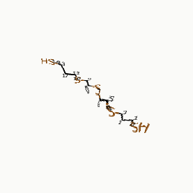 SCCCSCCSCCSCCCS